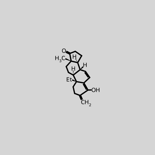 C=C1CC[C@@]2(CC)C(=C1O)C=C[C@@H]1[C@@H]2CC[C@]2(C)C(=O)CC[C@@H]12